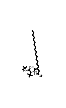 CCCCCCCCCCCCCCCCC(CC(=O)O)C(=O)N[C@H](C(=O)NC(C)(C)C)C(C)(C)C